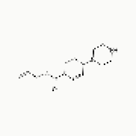 C=CCOC(=O)C1=CCC(N2CCNCC2)C=C1